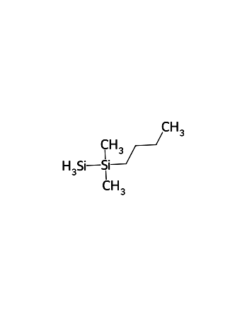 CCCC[Si](C)(C)[SiH3]